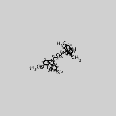 COc1ccc2c3c1O[C@H]1C[C@@H](O)C=C[C@@]31CCN(CCOCCN[C@]13C[C@@H]4C[C@@](C)(C[C@@](C)(C4)C1)C3)C2